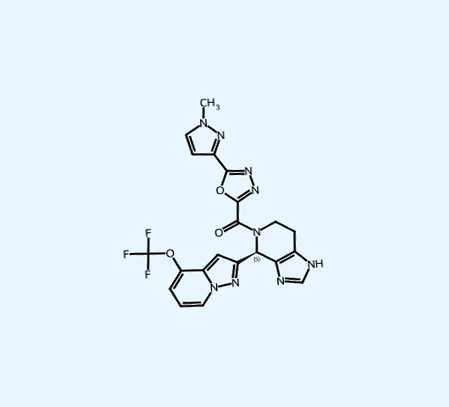 Cn1ccc(-c2nnc(C(=O)N3CCc4[nH]cnc4[C@H]3c3cc4c(OC(F)(F)F)cccn4n3)o2)n1